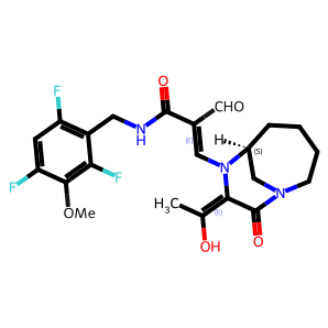 COc1c(F)cc(F)c(CNC(=O)/C(C=O)=C/N2/C(=C(\C)O)C(=O)N3CCCC[C@H]2C3)c1F